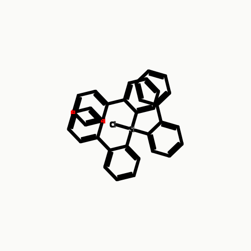 Cl[Si](c1ccccc1-c1ccccc1)(c1ccccc1-c1ccccc1)c1ccccc1-c1ccccc1